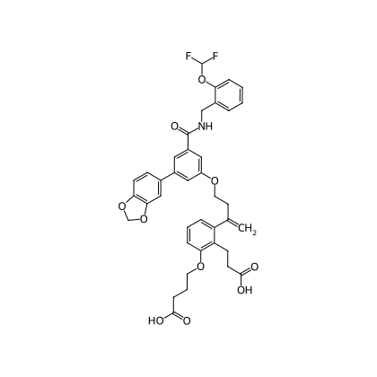 C=C(CCOc1cc(C(=O)NCc2ccccc2OC(F)F)cc(-c2ccc3c(c2)OCO3)c1)c1cccc(OCCCC(=O)O)c1CCC(=O)O